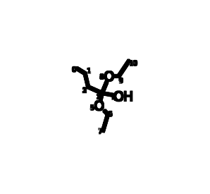 CCCC(O)(OCC)OCC